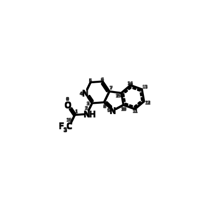 O=C(NC1=NCC=C2C1=Nc1ccccc12)C(F)(F)F